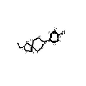 CCN1CCC2(CCN(c3ccc(Cl)cc3)CC2)C1